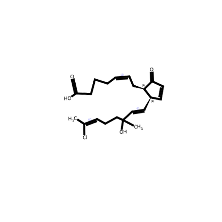 C/C(Cl)=C/CCC(C)(O)/C=C/[C@@H]1C=CC(=O)[C@@H]1C/C=C\CCCC(=O)O